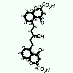 O=C(O)c1cc(=O)c2c(CCC(O)CCc3cccc4oc(C(=O)O)cc(=O)c34)cccc2o1